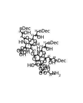 CCCCCCCCCCC[C@@H](O)CC(=O)NC1C(OC(=O)C[C@H](O)CCCCCCCCCCC)[C@H](O)C(CO[C@@H]2O[C@H](CO)[C@@H](OP(=O)(O)OP(=O)(O)OCCN)C(OC(=O)C[C@H](O)CCCCCCCCCCC)C2NC(=O)C[C@H](O)CCCCCCCCCCC)O[C@@H]1OP(=O)(O)O